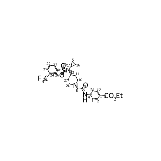 CCOC(=O)c1ccc(NC(=O)CN2CCC(N(C3CC3)S(=O)(=O)c3cccc(C(F)(F)F)c3)CC2)cc1